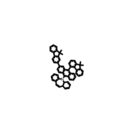 CC1(C)c2ccccc2-c2ccc(-c3ccc4c(N5c6ccccc6C=CC6C=CC=CC65)c5ccccc5c(-c5cccc6c5-c5ccccc5C6(C)C)c4c3)cc21